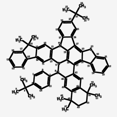 CC(C)(C)c1ccc(N2B3c4cc5c(cc4-n4c6ccc(C(C)(C)C)cc6c6c7sc8ccccc8c7c(c3c64)-c3cc4c(cc32)C(C)(C)CCC4(C)C)C(C)(C)c2ccccc2-5)cc1